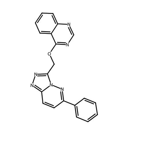 c1ccc(-c2ccc3nnc(COc4ncnc5ccccc45)n3n2)cc1